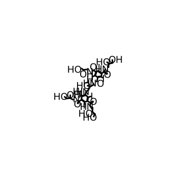 O=C(NCC(O)CO)c1c(I)c(NCC(O)CNC(=O)c2c(I)c(C(=O)NCC(O)CO)c(I)c(C(=O)NCC(O)CO)c2I)c(I)c(C(=O)NCC(O)CO)c1I